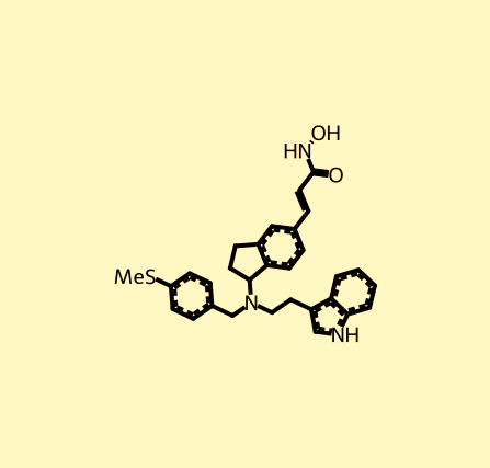 CSc1ccc(CN(CCc2c[nH]c3ccccc23)C2CCc3cc(C=CC(=O)NO)ccc32)cc1